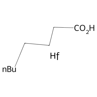 CCCCCCCC(=O)O.[Hf]